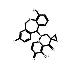 Cc1cccc2c1SCc1cc(F)ccc1C2N1CC2(CC2)C(=O)c2c(O)c(=O)ccn21